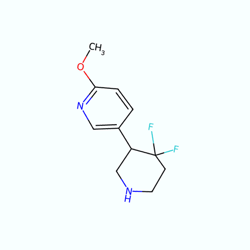 COc1ccc(C2CNCCC2(F)F)cn1